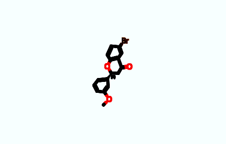 COc1cccc([C@H]2CC(=O)c3cc(Br)ccc3O2)c1